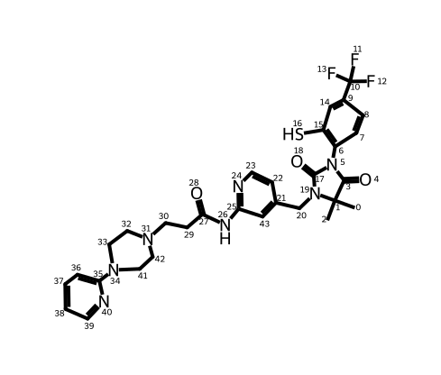 CC1(C)C(=O)N(c2ccc(C(F)(F)F)cc2S)C(=O)N1Cc1ccnc(NC(=O)CCN2CCN(c3ccccn3)CC2)c1